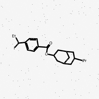 CCC(I)c1ccc(C(=O)OC2CC3CC(C2)CC(C(C)C)C3)cc1